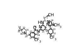 C#CCCNc1cc(-c2cc(C(F)(F)F)ccc2-c2nncn2C)cc(N2Cc3c(cc(CN4CCC5(CC5)C4)cc3C(F)(F)F)C2=O)n1